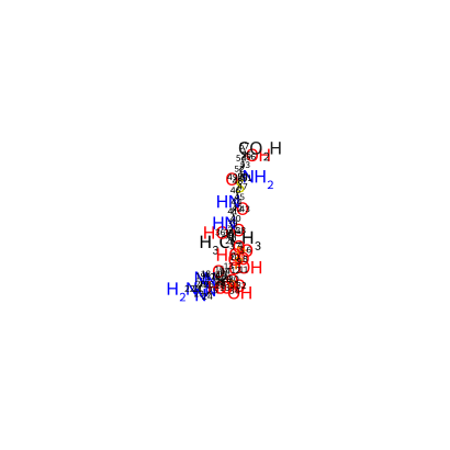 CC(C)(COP(=O)(O)OP(=O)(O)OC[C@H]1O[C@@H](n2cnc3c(N)ncnc32)[C@H](O)[C@@H]1OP(=O)(O)O)[C@@H](O)C(=O)NCCC(=O)NCCSC(=O)[C@@H](N)CCCC(O)C(=O)O